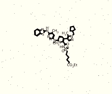 CCOC(=O)CCCCCS(=O)(=O)NC(=O)c1nc(N(C)c2cc(C)c(Nc3nc4ccccc4s3)nn2)ccc1-c1cnn(CC2CCCC2)c1C